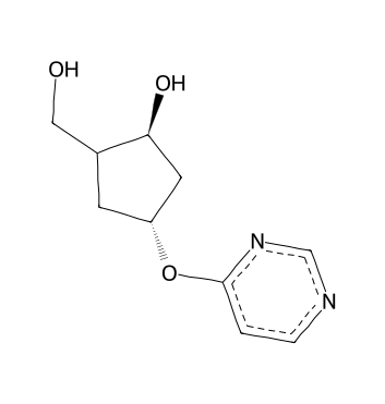 OCC1C[C@@H](Oc2ccncn2)C[C@@H]1O